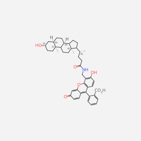 C[C@H](CCC(=O)NCc1c(O)ccc2c(-c3ccccc3C(=O)O)c3ccc(=O)cc-3oc12)C1CCC2[C@@H]3CC[C@@H]4C[C@H](O)CC[C@]4(C)C3CC[C@@]21C